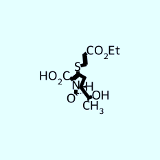 CCOC(=O)C=CSC1=C(C(=O)O)N2C(=O)[C@@H]([C@H](C)O)[C@H]2C1